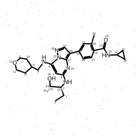 CC[C@H](Nc1cc(NCC2CCOCC2)n2ncc(-c3ccc(C(=O)NC4CC4)c(C)c3)c2n1)[C@H](C)O